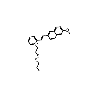 CCCSSCC[n+]1ccccc1/C=C/c1ccc2cc(OC)ccc2c1